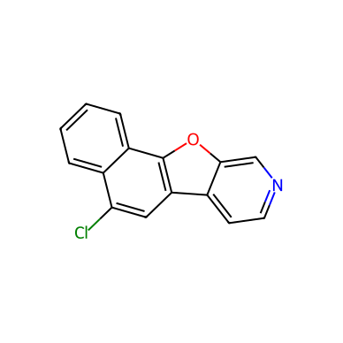 Clc1cc2c3ccncc3oc2c2ccccc12